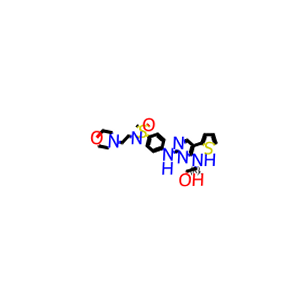 C[C@H](CO)Nc1nc(Nc2ccc(S(C)(=O)=NCCN3CCOCC3)cc2)ncc1-c1cccs1